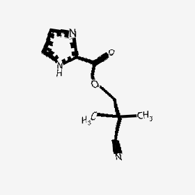 CC(C)(C#N)COC(=O)c1ncc[nH]1